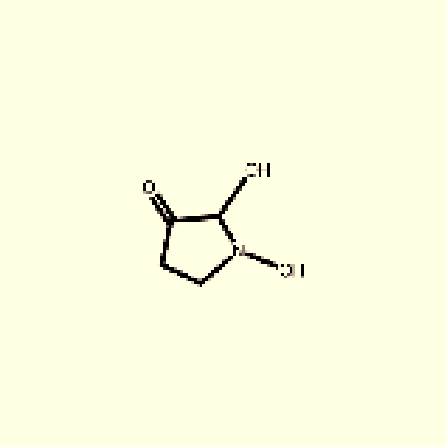 O=C1CCN(O)C1O